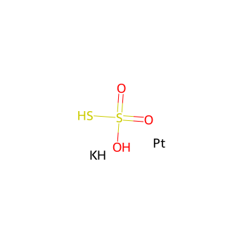 O=S(=O)(O)S.[KH].[Pt]